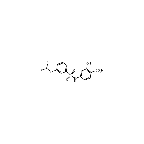 O=C(O)c1ccc(NS(=O)(=O)c2cccc(OC(F)F)c2)cc1O